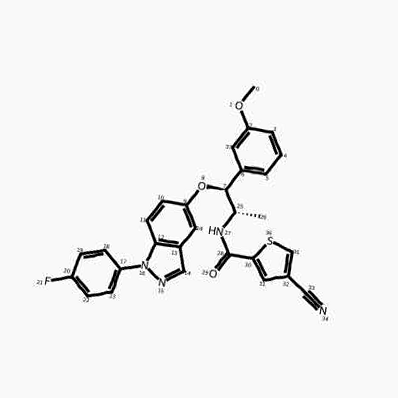 COc1cccc([C@H](Oc2ccc3c(cnn3-c3ccc(F)cc3)c2)[C@H](C)NC(=O)c2cc(C#N)cs2)c1